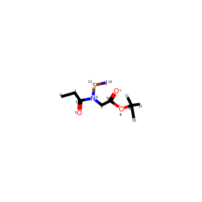 CCC(=O)N(CC(=O)OC(C)(C)C)SI